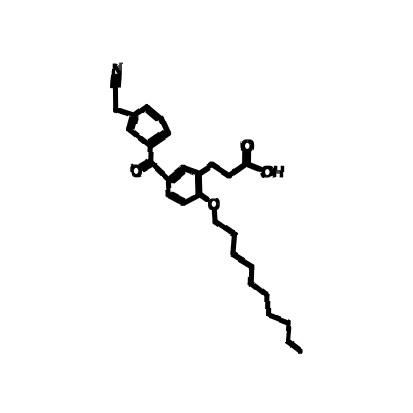 CCCCCCCCCCOc1ccc(C(=O)c2cccc(CC#N)c2)cc1CCC(=O)O